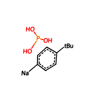 CC(C)(C)c1cc[c]([Na])cc1.OP(O)O